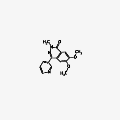 COc1cc2c(-c3cccnc3)nn(C)c(=O)c2cc1OC